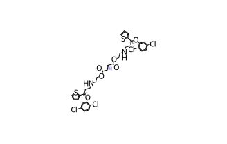 O=C(/C=C/C(=O)OCCNCC[C@@H](Oc1cc(Cl)ccc1Cl)c1cccs1)OCCNCC[C@@H](Oc1cc(Cl)ccc1Cl)c1cccs1